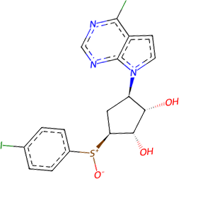 [O-][S+](c1ccc(Cl)cc1)[C@H]1C[C@@H](n2ccc3c(Cl)ncnc32)[C@H](O)[C@@H]1O